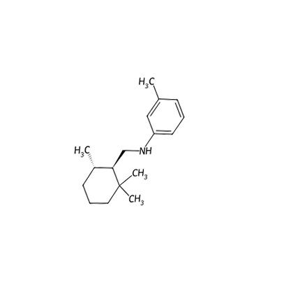 Cc1cccc(NC[C@@H]2[C@@H](C)CCCC2(C)C)c1